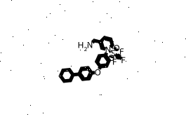 NCC1=C[N+](c2ccc(Oc3ccc(C4CCCCC4)cc3)cc2)(S(=O)(=O)C(F)(F)F)CC=C1